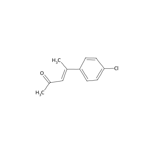 CC(=O)C=C(C)c1ccc(Cl)cc1